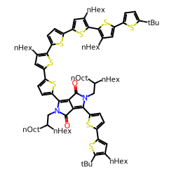 CCCCCCCCC(CCCCCC)CN1C(=O)C2=C(c3ccc(-c4cc(CCCCCC)c(C(C)(C)C)s4)s3)N(CC(CCCCCC)CCCCCCCC)C(=O)C2=C1c1ccc(-c2cc(CCCCCC)c(-c3ccc(-c4cc(CCCCCC)c(-c5sc(-c6ccc(C(C)(C)C)s6)cc5CCCCCC)s4)s3)s2)s1